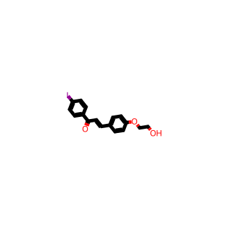 O=C(C=Cc1ccc(OCCO)cc1)c1ccc(I)cc1